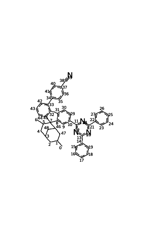 CC1CC2CC(C)C3(c4cc(-c5nc(-c6ccccc6)nc(-c6ccccc6)n5)ccc4-c4c(-c5ccc(C#N)cc5)cccc43)C(C1)C2